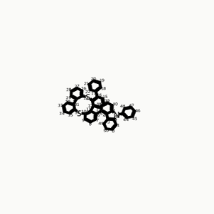 C1=Cc2c(c3c(-c4cccc5c4-c4cccc(-c6ccccc6)c4Sc4ccccc4-c4ccccc4S5)cccc3n2-c2ccccc2)CC1